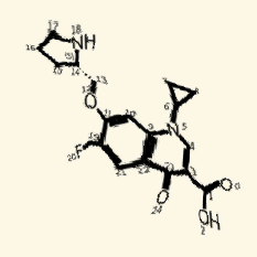 O=C(O)c1cn(C2CC2)c2cc(OC[C@@H]3CCCN3)c(F)cc2c1=O